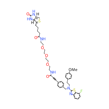 COc1ccc(CCN(Cc2ccc(C#CC(=O)NCCOCCOCCOCCNC(=O)CCCC[C@@H]3SC[C@@H]4NC(=O)N[C@@H]43)cc2)c2nc3cccc(F)c3s2)cc1